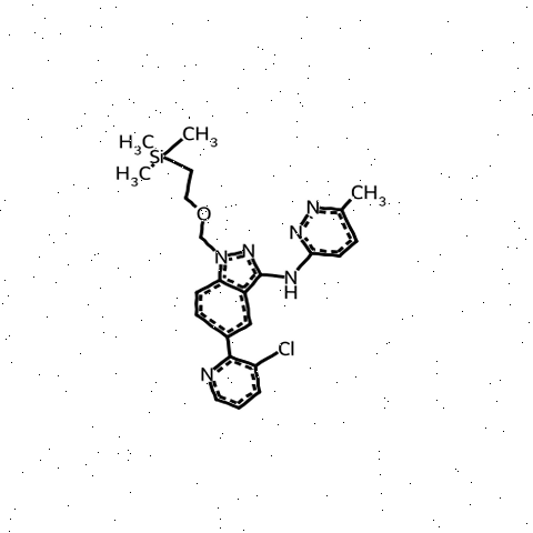 Cc1ccc(Nc2nn(COCC[Si](C)(C)C)c3ccc(-c4ncccc4Cl)cc23)nn1